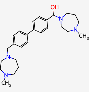 CN1CCCN(Cc2ccc(-c3ccc(C(O)N4CCCN(C)CC4)cc3)cc2)CC1